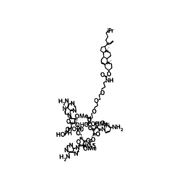 C=C[C@H](CCCC(C)C)C1CCC2C3CC=C4CC(OC(=O)NCCCOCCOCCOCCO[PH](O)(O)O[C@H]5[C@@H](OC)[C@H](n6ccc(N)nc6=O)O[C@@H]5COP(O)(=S)O[C@H]5[C@@H](OC)[C@H](n6cnc7c(N)ncnc76)O[C@@H]5COP(=O)(O)O[C@H]5[C@@H](OC)[C@H](n6cnc7c(N)ncnc76)O[C@@H]5COPO)CC[C@]4(C)C3CC[C@@]21C